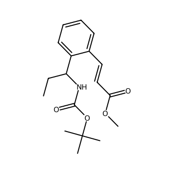 CCC(NC(=O)OC(C)(C)C)c1ccccc1/C=C/C(=O)OC